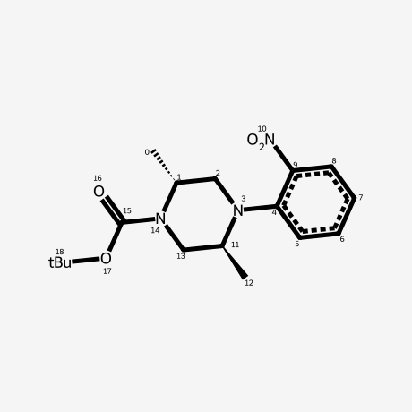 C[C@@H]1CN(c2ccccc2[N+](=O)[O-])[C@@H](C)CN1C(=O)OC(C)(C)C